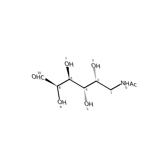 CC(=O)NC[C@@H](O)[C@H](O)[C@H](O)[C@@H](O)C=O